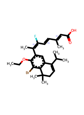 CCOc1c(\C(C)=C(F)/C=C/C(C)=C/C(=O)O)cc2c(c1Br)C(C)(C)CC=C2C(C)C